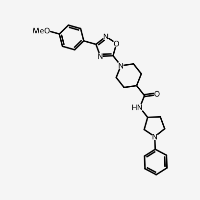 COc1ccc(-c2noc(N3CCC(C(=O)NC4CCN(c5ccccc5)C4)CC3)n2)cc1